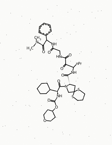 CCCC(NC(=O)[C@@H]1CC2(CN1C(=O)[C@@H](NC(=O)OC1CCOCC1)C1CCCCC1)SCCCS2)C(=O)C(=O)NCC(=O)NC(C(=O)N(C)C)c1ccccc1